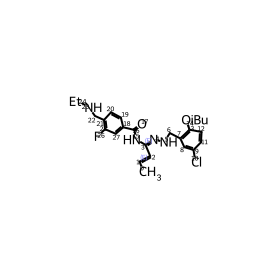 C/C=C/C(=N\NCc1cc(Cl)ccc1OCC(C)C)NC(=O)c1ccc(CNCC)c(F)c1